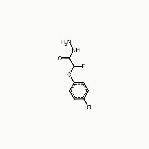 NNC(=O)C(F)Oc1ccc(Cl)cc1